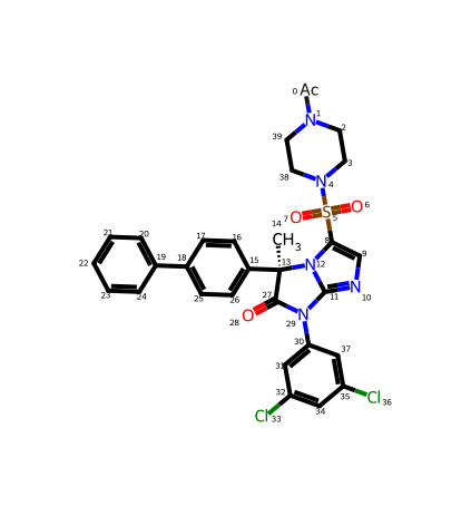 CC(=O)N1CCN(S(=O)(=O)c2cnc3n2[C@](C)(c2ccc(-c4ccccc4)cc2)C(=O)N3c2cc(Cl)cc(Cl)c2)CC1